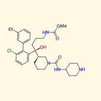 CCc1cccc(-c2c(Cl)cccc2[C@](O)(CCCNC(=O)OC)[C@@H]2CCCN(C(=O)NC3CCNCC3)C2)c1